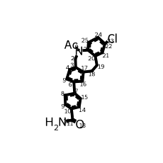 CC(=O)N1Cc2ccc(-c3ccc(C(N)=O)cc3)cc2CCc2cc(Cl)ccc21